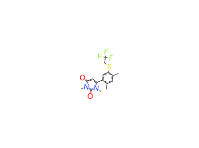 Cc1cc(C)c(-c2cc(=O)n(C)c(=O)n2C)cc1SCC(F)(F)F